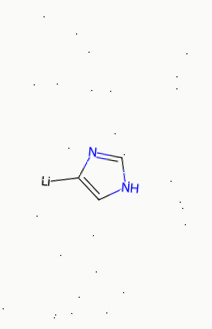 [Li][c]1c[nH]cn1